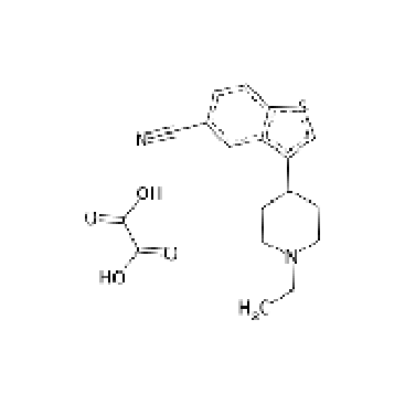 CCN1CCC(c2csc3ccc(C#N)cc23)CC1.O=C(O)C(=O)O